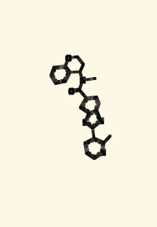 Cc1ncccc1-c1nc2ccc(C(=O)N(C)C3CCOc4ccccc43)cc2s1